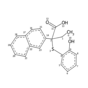 CCC(Sc1ccccc1O)(C(=O)O)c1ccc2ccccc2c1